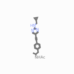 CC(=O)NC(C)Cc1ccc(C#Cc2cnc(NCC3CC3)nc2)cc1